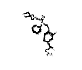 COC(=O)c1ccc(CN(C(=O)N2CC3(COC3)C2)c2ccccc2)c(F)c1